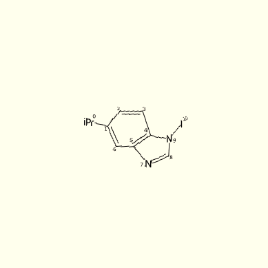 CC(C)c1ccc2c(c1)ncn2I